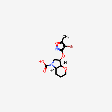 Cc1onc(O[C@@H]2CN(C(=O)O)[C@@H]3CCCO[C@@H]32)c1Br